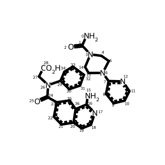 NC(=O)N1CCN(c2ccccn2)CC1.Nc1nccc2ccc(C(=O)N(CC(=O)O)c3ccccc3)cc12